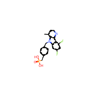 Cc1ccnc2c3c(F)cc(F)cc3n(Cc3ccc(CP(=O)(O)O)cc3)c12